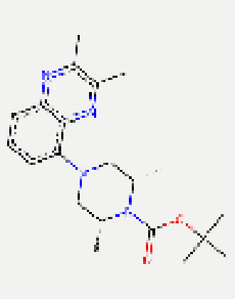 Cc1nc2cccc(N3C[C@@H](C)N(C(=O)OC(C)(C)C)[C@@H](C)C3)c2nc1C